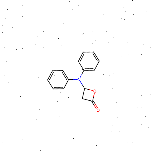 O=C1CC(N(c2ccccc2)c2ccccc2)O1